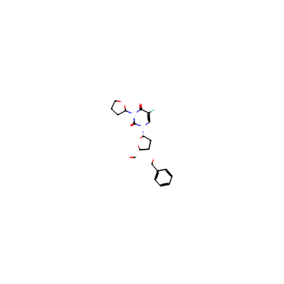 O=c1c(F)cn([C@H]2C[C@H](OCc3ccccc3)[C@@H](CO)O2)c(=O)n1C1CCCO1